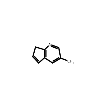 Cc1cnc2c(c1)C=CC2